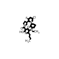 CCCCc1nc(O)c(C(=O)N2CCC(c3ncc(Cl)cc3F)C2)c(O)c1N(CC)c1ccccc1